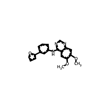 COc1cc2ncnc(Nc3cccc(-c4ccco4)c3)c2cc1OC